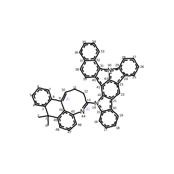 CC1(C)c2ccccc2/C2=C/CC/C(n3c4ccccc4c4cc5c6ccccc6n6c7c8ccccc8ccc7c(c43)c56)=N\c3cccc1c32